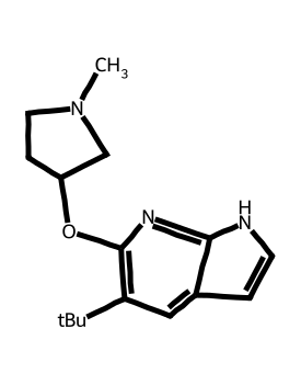 CN1CCC(Oc2nc3[nH]ccc3cc2C(C)(C)C)C1